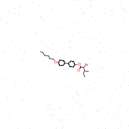 CCCCCCOc1ccc(-c2ccc(OC(=O)C(Br)C(C)CC)cc2)cc1